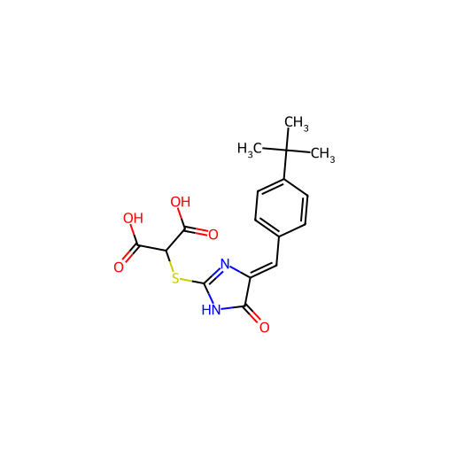 CC(C)(C)c1ccc(/C=C2\N=C(SC(C(=O)O)C(=O)O)NC2=O)cc1